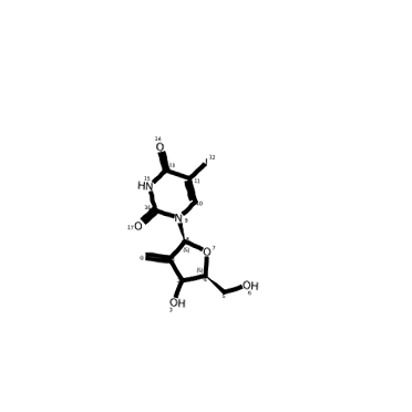 C=C1C(O)[C@H](CO)O[C@@H]1n1cc(I)c(=O)[nH]c1=O